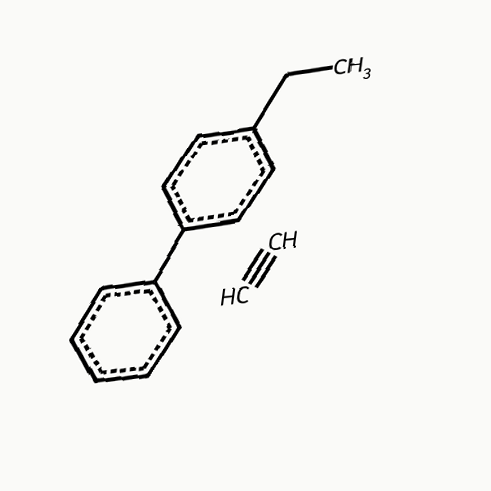 C#C.CCc1ccc(-c2ccccc2)cc1